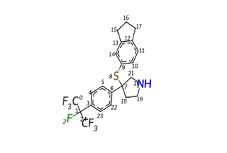 FC(F)(F)C(F)(c1ccc(C2(Sc3ccc4c(c3)CCC4)CCNC2)cc1)C(F)(F)F